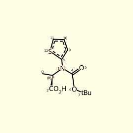 C[C@H](C(=O)O)N(C(=O)OC(C)(C)C)c1cccs1